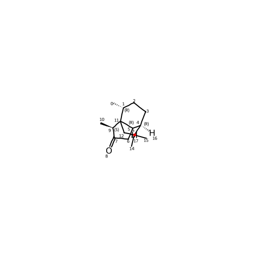 C[C@@H]1CC[C@@H]2[C@H]3CC(=O)[C@@H](C)C13CC2(C)C